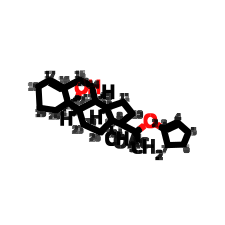 C=C(OC1=CCCC1)[C@]1(OC(C)=O)CC[C@H]2[C@@H]3CCC4=CCCC[C@]4(CO)[C@H]3CC[C@@]21C